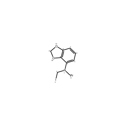 CC(C)N(CI)c1cccc2c1OCO2